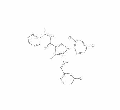 CC(=Cc1cccc(Cl)c1)c1c(C)c(C(=O)N[C@@H](C)c2ccccc2)nn1-c1ccc(Cl)cc1Cl